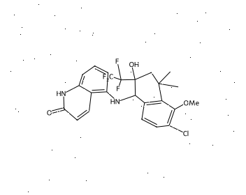 COc1c(Cl)ccc2c1C(C)(C)CC(O)(C(F)(F)C(F)(F)F)C2Nc1cccc2[nH]c(=O)ccc12